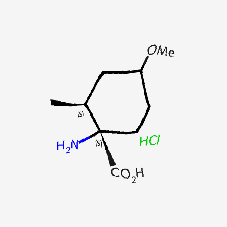 COC1CC[C@@](N)(C(=O)O)[C@@H](C)C1.Cl